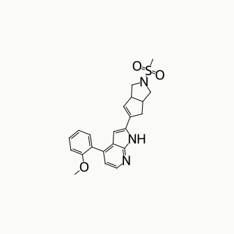 COc1ccccc1-c1ccnc2[nH]c(C3=CC4CN(S(C)(=O)=O)CC4C3)cc12